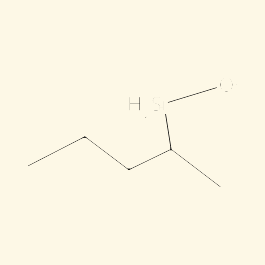 CCCC(C)[SiH2][O]